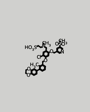 Cc1c(COc2cc(OCc3cncc(S(C)(=O)=O)c3)c(CN(C)CCS(=O)(=O)O)cc2Cl)cccc1-c1ccc2c(c1)OCCO2